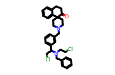 O=C1CCc2ccccc2C12CCN(Cc1cccc(C(CCl)N(CCCl)Cc3ccccc3)c1)CC2